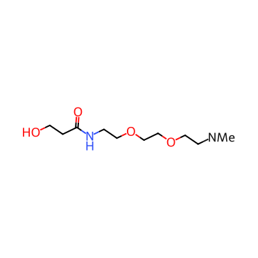 CNCCOCCOCCNC(=O)CCO